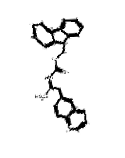 O=C(N[C@@H](Cc1ccc2ncccc2c1)C(=O)O)OCC1c2ccccc2-c2ccccc21